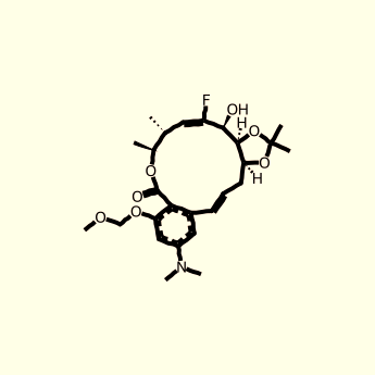 COCOc1cc(N(C)C)cc2c1C(=O)O[C@@H](C)[C@H](C)/C=C(/F)[C@@H](O)[C@H]1OC(C)(C)O[C@H]1C/C=C/2